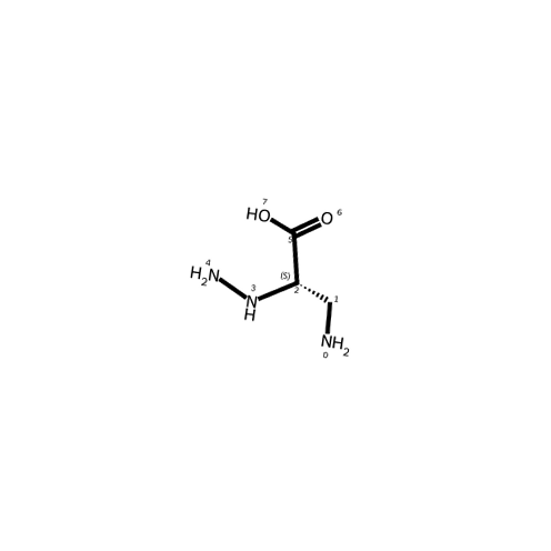 NC[C@H](NN)C(=O)O